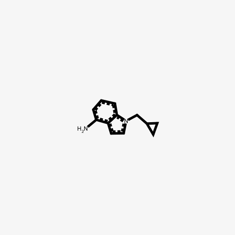 Nc1cccc2c1ccn2CC1CC1